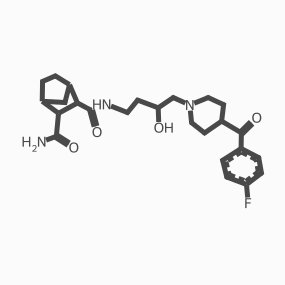 NC(=O)C1C2CCC(C2)C1C(=O)NCCC(O)CN1CCC(C(=O)c2ccc(F)cc2)CC1